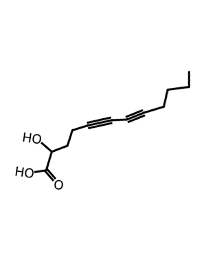 CCCCC#CC#CCCC(O)C(=O)O